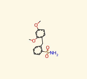 COc1ccc(Cc2ccccc2S(N)(=O)=O)c(OC)c1